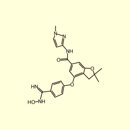 Cn1ccc(NC(=O)c2cc(Oc3ccc(C(=N)NO)cc3)c3c(c2)OC(C)(C)C3)n1